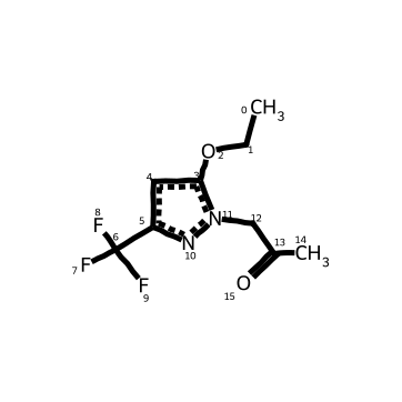 CCOc1cc(C(F)(F)F)nn1CC(C)=O